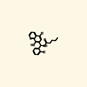 CCCCC(=O)NC(c1ccccc1Cl)c1cc(Cl)c2cccnc2c1O